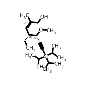 CC[C@H](/C=C(/C)CO)[C@@H](C#C[Si](C(C)C)(C(C)C)C(C)C)OC